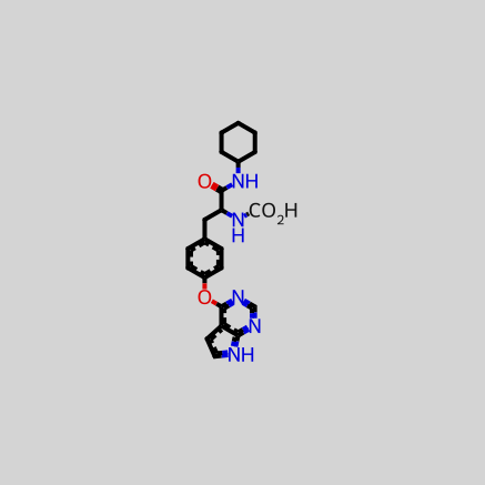 O=C(O)NC(Cc1ccc(Oc2ncnc3[nH]ccc23)cc1)C(=O)NC1CCCCC1